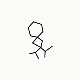 CC(C)C1(C(C)C)CC2(CCCCC2)C1